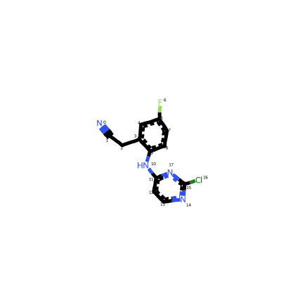 N#CCc1cc(F)ccc1Nc1ccnc(Cl)n1